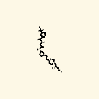 CCC(O)CN1CCN(CCN2CC[C@@H](NC(=O)CNC(=O)c3cccc(C(F)(F)F)c3)C2)CC1